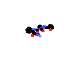 NC(=O)C(NC(=O)N1CCN(N=Cc2ccco2)C1=O)c1ccccc1